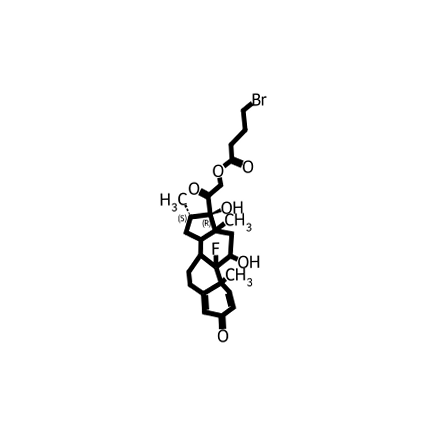 C[C@H]1CC2C3CCC4=CC(=O)C=CC4(C)C3(F)C(O)CC2(C)[C@@]1(O)C(=O)COC(=O)CCCBr